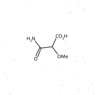 COC(C(N)=O)C(=O)O